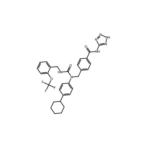 O=C(Nc1nn[nH]n1)c1ccc(CN(C(=O)NCc2ccccc2OC(F)(F)F)c2ccc(C3CCCCC3)cc2)cc1